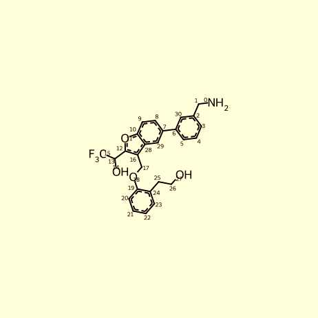 NCc1cccc(-c2ccc3oc(C(O)C(F)(F)F)c(COc4ccccc4CCO)c3c2)c1